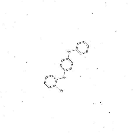 CC(C)c1ccccc1Nc1ccc(Nc2ccccc2)cc1